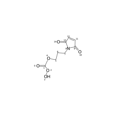 O=C(OO)OCCCN1C(=O)C=CC1=O